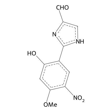 COc1cc(O)c(-c2nc(C=O)c[nH]2)cc1[N+](=O)[O-]